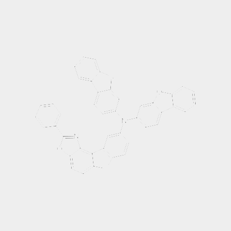 c1ccc(-c2nc3c(ccc4oc5ccc(N(c6ccc7c(c6)oc6ccccc67)c6ccc7c(c6)sc6ccccc67)cc5c43)o2)cc1